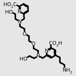 NCCCc1cc(CN(CCO)CCOCCOCCN(CCO)Cc2cccc(C(=O)O)n2)nc(C(=O)O)c1